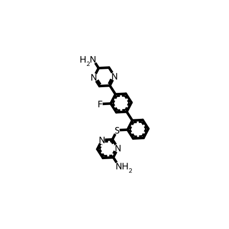 Nc1ccnc(Sc2ccccc2-c2ccc(C3=NCC(N)N=C3)c(F)c2)n1